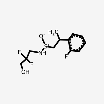 C[C](C[S+]([O-])NCC(F)(F)CO)c1ccccc1F